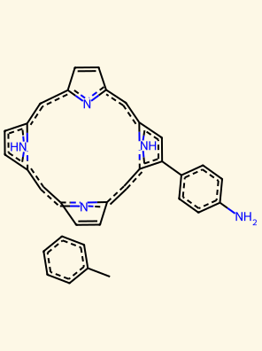 Cc1ccccc1.Nc1ccc(-c2cc3cc4nc(cc5ccc(cc6nc(cc2[nH]3)C=C6)[nH]5)C=C4)cc1